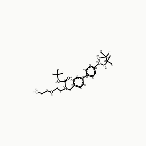 CC(C)(C)OC(=O)N(CCOCCO)Cc1ccc(-c2ccc(B3OC(C)(C)C(C)(C)O3)cc2)cc1